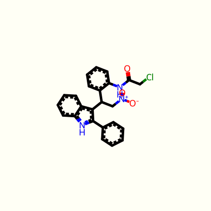 O=C(CCl)Nc1ccccc1C(C[N+](=O)[O-])c1c(-c2ccccc2)[nH]c2ccccc12